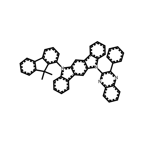 CC1(C)c2ccccc2-c2cccc(-n3c4ccccc4c4cc5c(cc43)c3ccccc3n5-c3nc4ccccc4nc3-c3ccccc3)c21